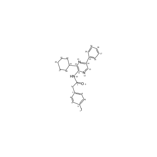 O=C(Cc1ccc(I)cc1)Nc1ncc(-c2ccccc2)nc1C1CCCCC1